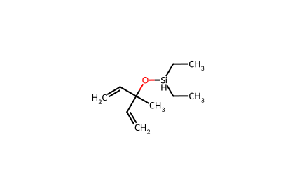 C=CC(C)(C=C)O[SiH](CC)CC